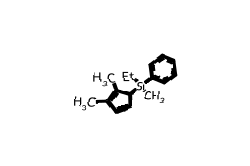 CC[Si](C)([C]1C=CC(C)=C1C)c1ccccc1